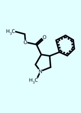 CCOC(=O)C1CN(C)CC1c1ccccc1